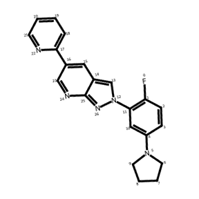 Fc1ccc(N2CCCC2)cc1-n1cc2cc(-c3ccccn3)cnc2n1